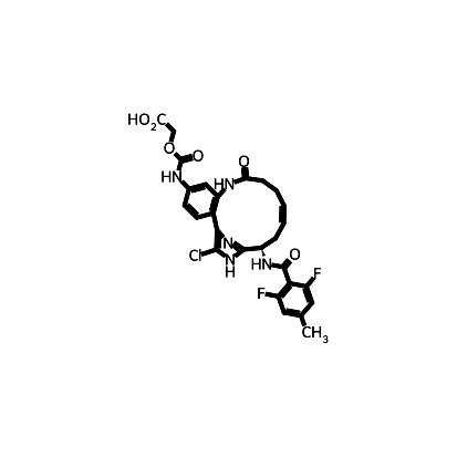 Cc1cc(F)c(C(=O)N[C@H]2CC=CCCC(=O)Nc3cc(NC(=O)OCC(=O)O)ccc3-c3nc2[nH]c3Cl)c(F)c1